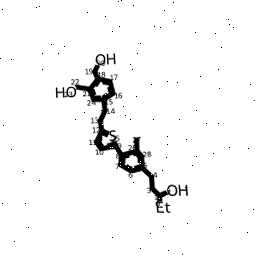 CCC(O)CCc1ccc(-c2ccc(CCc3ccc(CO)c(CO)c3)s2)c(C)c1